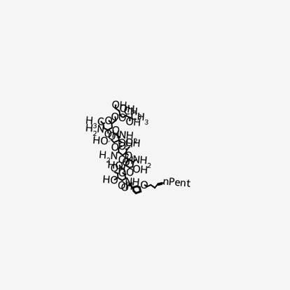 CCCCCC#CCCCOc1cccc(C(=O)NC2C(OC3C(O)C(N)[C@H](OC4C(CO)OC(OC5C(O)C(N)[C@H](OC6C(COC(OC(C)[C@H](C)O)[C@H](O)CO)OC(C)C(N)C6O)O[C@H]5CO)C(N)C4O)O[C@H]3CO)OC(CO)C(O)C2O)c1